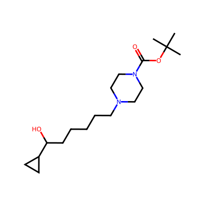 CC(C)(C)OC(=O)N1CCN(CCCCCC(O)C2CC2)CC1